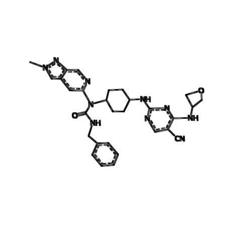 Cn1cc2cc(N(C(=O)NCc3ccccc3)C3CCC(Nc4ncc(C#N)c(NC5COC5)n4)CC3)ncc2n1